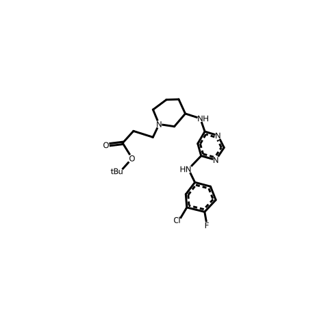 CC(C)(C)OC(=O)CCN1CCCC(Nc2cc(Nc3ccc(F)c(Cl)c3)ncn2)C1